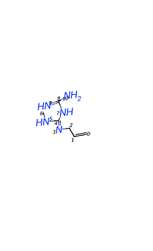 C=CCN=C(NC)NC(=N)N